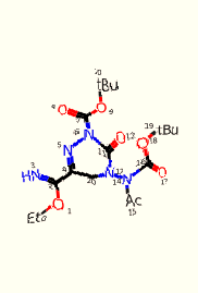 CCOC(=N)C1=NN(C(=O)OC(C)(C)C)C(=O)N(N(C(C)=O)C(=O)OC(C)(C)C)C1